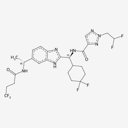 C[C@@H](NC(=O)CCC(F)(F)F)c1ccc2nc([C@@H](NC(=O)c3cnn(CC(F)F)n3)C3CCC(F)(F)CC3)[nH]c2c1